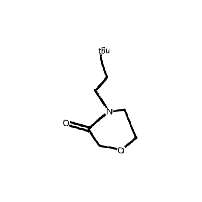 CC(C)(C)CCN1CCOCC1=O